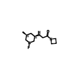 C[C@H]1C[C@@H](NCC(=O)N2CCC2)CN(F)C1